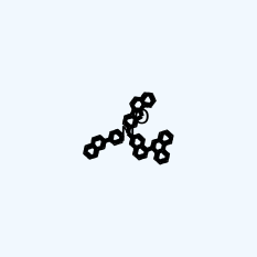 c1ccc2cc(-c3ccc(N(c4ccc5c(-c6cc7ccccc7c7ccccc67)cccc5c4)c4ccc5c(c4)oc4c6ccccc6ccc54)cc3)ccc2c1